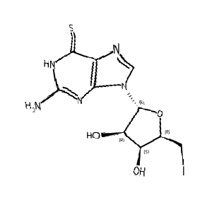 Nc1nc2c(ncn2[C@@H]2O[C@@H](CI)[C@@H](O)[C@H]2O)c(=S)[nH]1